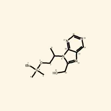 CC(CO[Si](C)(C)C(C)(C)C)n1c(CO)nc2cncnc21